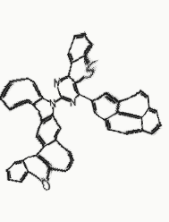 c1cc2ccc3cc(-c4nc(-n5c6ccccc6c6cc7c(ccc8oc9ccccc9c87)cc65)nc5c4sc4ccccc45)cc4ccc(c1)c2c34